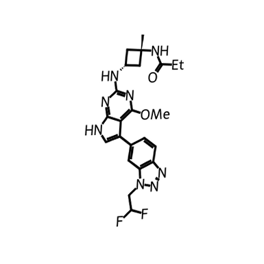 CCC(=O)N[C@]1(C)C[C@H](Nc2nc(OC)c3c(-c4ccc5nnn(CC(F)F)c5c4)c[nH]c3n2)C1